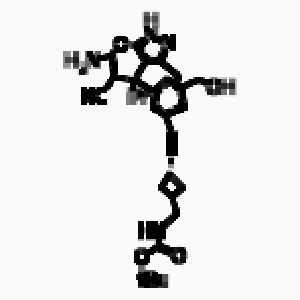 Cc1n[nH]c2c1C(c1cc(C#C[C@H]3C[C@H](CNC(=O)OC(C)(C)C)C3)cc(CO)c1)(C(C)C)C(C#N)=C(N)O2